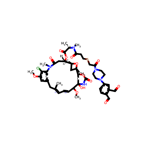 COc1cc2cc(c1Cl)N(C)C(=O)C[C@H](OC(=O)[C@H](C)N(C)C(=O)CCSCC(=O)N1CCN(c3ccc(C=O)c(C=O)c3)CC1)C1(C)CC(C)(O1)C1CC(O)(NC(=O)O1)C(OC)/C=C/C=C(\C)C2